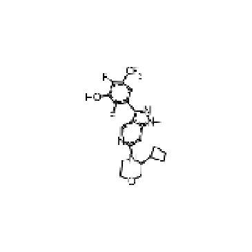 Cn1nc(-c2cc(C(F)(F)F)c(F)c(O)c2F)c2cnc(N3CCOCC3C3CCC3)cc21